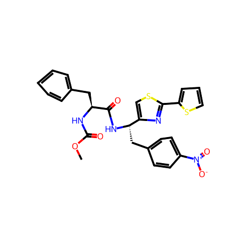 COC(=O)N[C@@H](Cc1ccccc1)C(=O)N[C@@H](Cc1ccc([N+](=O)[O-])cc1)c1csc(-c2cccs2)n1